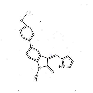 C#CN1C(=O)/C(=C\c2ccc[nH]2)c2cc(-c3ccc(OC)cc3)ccc21